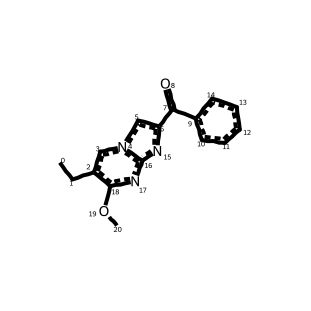 CCc1cn2cc(C(=O)c3ccccc3)nc2nc1OC